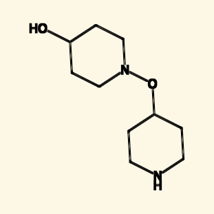 OC1CCN(OC2CCNCC2)CC1